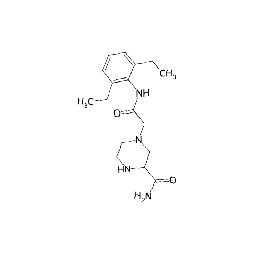 CCc1cccc(CC)c1NC(=O)CN1CCNC(C(N)=O)C1